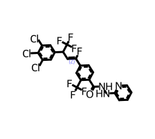 O=C(NNc1ccccn1)c1ccc(/C(F)=C/C(c2cc(Cl)c(Cl)c(Cl)c2)C(F)(F)F)cc1C(F)(F)F